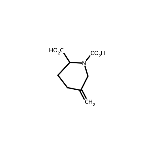 C=C1CCC(C(=O)O)N(C(=O)O)C1